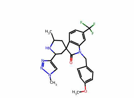 COc1ccc(CN2C(=O)C3(CC(C)NC(c4cn(C)nn4)C3)c3ccc(C(F)(F)F)cc32)cc1